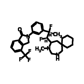 CN1CNCC2(CCCCC2)CC1[C@@H](F)[C@](C)(F)c1cccc(N2Cc3c(cccc3C(F)(F)F)C2=O)c1